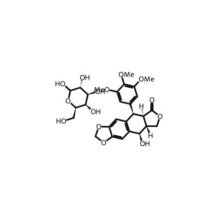 COc1cc([C@@H]2c3cc4c(cc3[C@H](O)[C@H]3COC(=O)[C@H]23)OCO4)cc(OC)c1OC.OC[C@H]1OC(O)[C@H](O)[C@@H](O)[C@H]1O